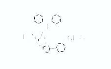 CC(=O)NCc1cccc(-c2csc(N=C(N)NCCC(c3ccccc3)c3ccccc3)n2)c1